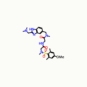 COc1cc(C)c(S(=O)(=O)N(C)CC(=O)NCC(=O)N(C)Cc2ccc3[nH]c(CN(C)C)nc3c2)c(C)c1